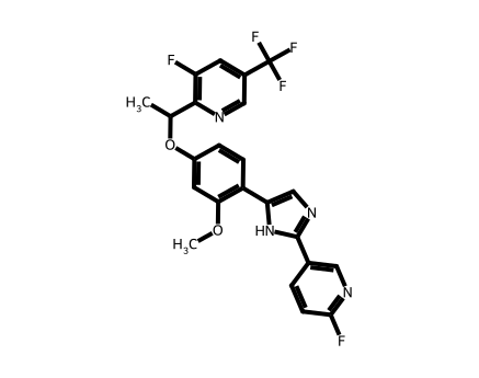 COc1cc(OC(C)c2ncc(C(F)(F)F)cc2F)ccc1-c1cnc(-c2ccc(F)nc2)[nH]1